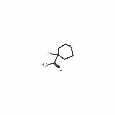 NC(=O)C1(Cl)CC[N]CC1